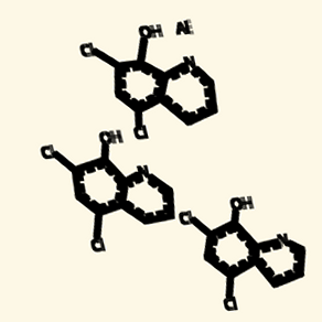 Oc1c(Cl)cc(Cl)c2cccnc12.Oc1c(Cl)cc(Cl)c2cccnc12.Oc1c(Cl)cc(Cl)c2cccnc12.[Al]